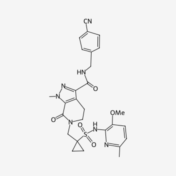 COc1ccc(C)nc1NS(=O)(=O)C1(CN2CCc3c(C(=O)NCc4ccc(C#N)cc4)nn(C)c3C2=O)CC1